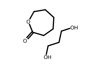 O=C1CCCCCO1.OCCCO